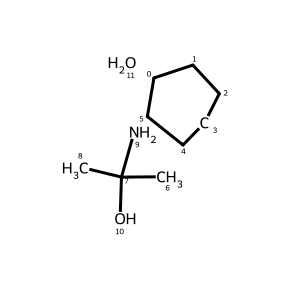 C1CCCCC1.CC(C)(N)O.O